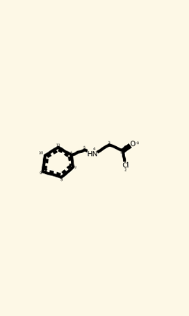 O=C(Cl)CNCc1ccccc1